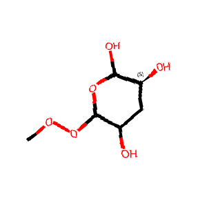 COOC1OC(O)[C@@H](O)CC1O